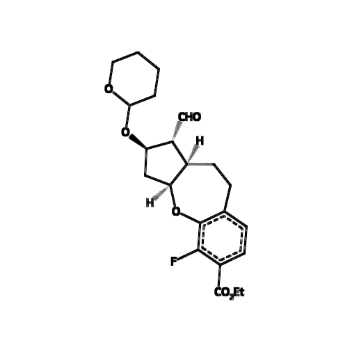 CCOC(=O)c1ccc2c(c1F)O[C@H]1C[C@@H](OC3CCCCO3)[C@H](C=O)[C@H]1CC2